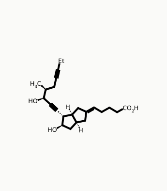 CCC#CC[C@H](C)[C@H](O)C#C[C@@H]1[C@H]2C/C(=C/CCCC(=O)O)C[C@H]2C[C@H]1O